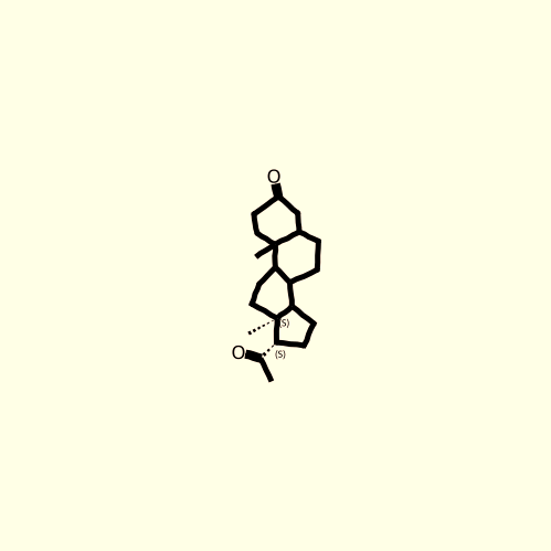 CC(=O)[C@H]1CCC2C3CCC4CC(=O)CCC4(C)C3CC[C@@]21C